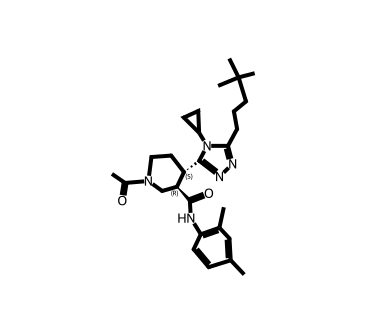 CC(=O)N1CC[C@H](c2nnc(CCCC(C)(C)C)n2C2CC2)[C@@H](C(=O)Nc2ccc(C)cc2C)C1